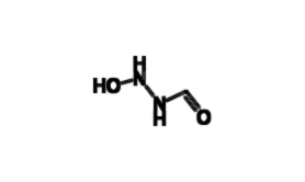 O=CNNO